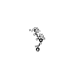 CC(C)N(CCC(=O)NCC(C)(C)C)C(=O)c1cc(Cl)cc(OCCNc2ccncc2)c1